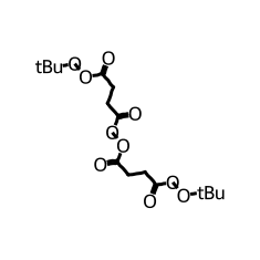 CC(C)(C)OOC(=O)CCC(=O)OOC(=O)CCC(=O)OOC(C)(C)C